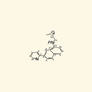 c1ccc(-c2ccc3cccc(NCC4CO4)c3c2)nc1